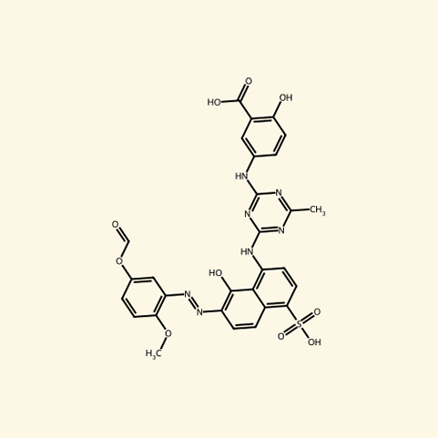 COc1ccc(OC=O)cc1N=Nc1ccc2c(S(=O)(=O)O)ccc(Nc3nc(C)nc(Nc4ccc(O)c(C(=O)O)c4)n3)c2c1O